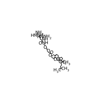 CC(C)CCCC(C)C1CCC2C3CC=C4CC(OC(=O)COCCOCCNC(=O)C(CCCNC(=N)N)NC(=N)N)CCC4(C)C3CCC12C